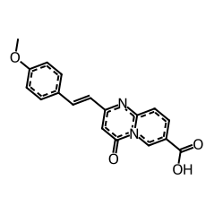 COc1ccc(/C=C/c2cc(=O)n3cc(C(=O)O)ccc3n2)cc1